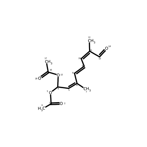 CC(=O)OC(C=C(C)C=CC=C(C)C=O)OC(C)=O